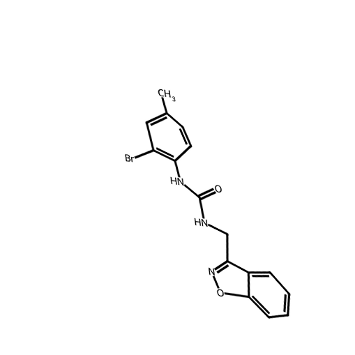 Cc1ccc(NC(=O)NCc2noc3ccccc23)c(Br)c1